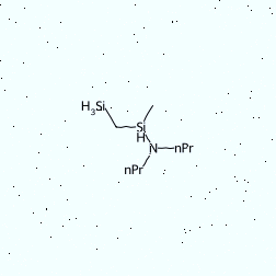 CCCN(CCC)[SiH](C)C[SiH3]